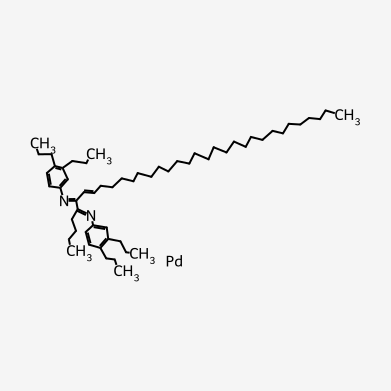 CCCCCCCCCCCCCCCCCCCCCCCCCCC=CC(=Nc1ccc(CCC)c(CCC)c1)C(CCCC)=Nc1ccc(CCC)c(CCC)c1.[Pd]